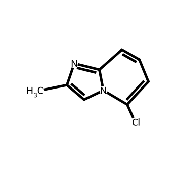 Cc1cn2c(Cl)cccc2n1